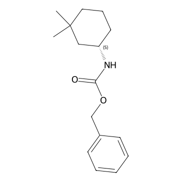 CC1(C)CCC[C@H](NC(=O)OCc2ccccc2)C1